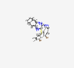 Brc1ccc(Nc2nc3cc4ccccc4cc3nc2Sc2cccc(Br)c2)cc1